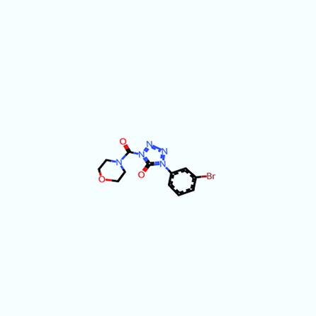 O=C(N1CCOCC1)n1nnn(-c2cccc(Br)c2)c1=O